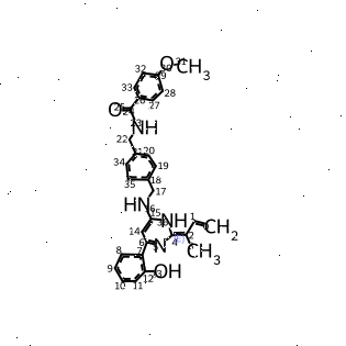 C=C/C(C)=C1/N=C(c2ccccc2O)C=C(NCc2ccc(CNC(=O)c3ccc(OC)cc3)cc2)N1